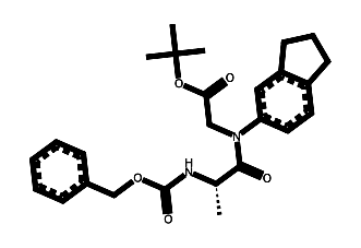 C[C@H](NC(=O)OCc1ccccc1)C(=O)N(CC(=O)OC(C)(C)C)c1ccc2c(c1)CCC2